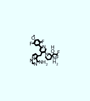 COc1cc(F)c(-c2cc(Cc3ccn4ncnc(N)c34)c(N3CCC[C@](N)([C@H](O)C(F)F)C3)cn2)cc1F